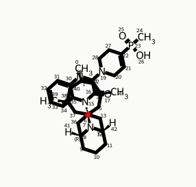 C[C@H]1C[C@@H](C)C[C@@H](N2[C@@H]3CCC[C@H]2C[C@@H](n2c(=O)c(N4CC=C(P(C)(=O)O)CC4)nc4ccccc42)C3)C[C@@H](C)C1